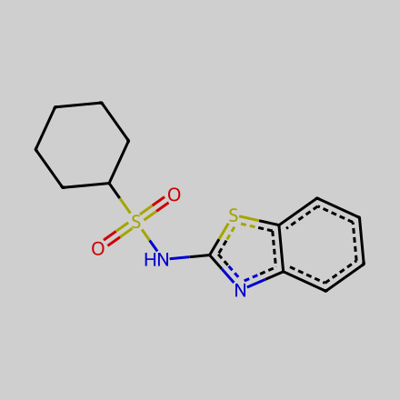 O=S(=O)(Nc1nc2ccccc2s1)C1CCCCC1